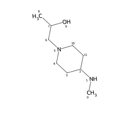 CNC1CCN(CC(C)O)CC1